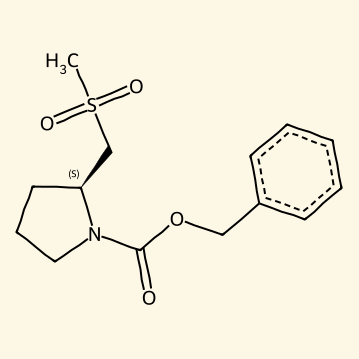 CS(=O)(=O)C[C@@H]1CCCN1C(=O)OCc1ccccc1